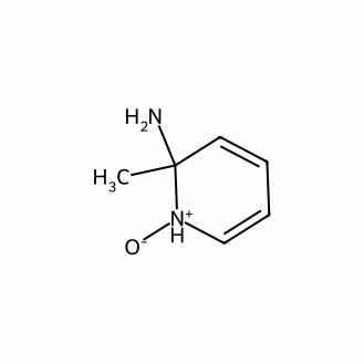 CC1(N)C=CC=C[NH+]1[O-]